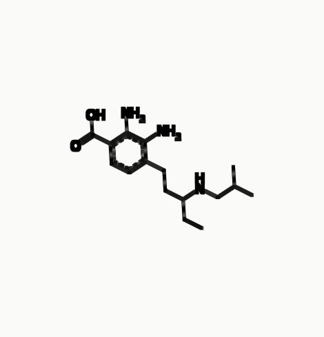 CCC(CCc1ccc(C(=O)O)c(N)c1N)NCC(C)C